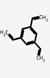 C=Cc1cc(C=C)cc(C=C)c1